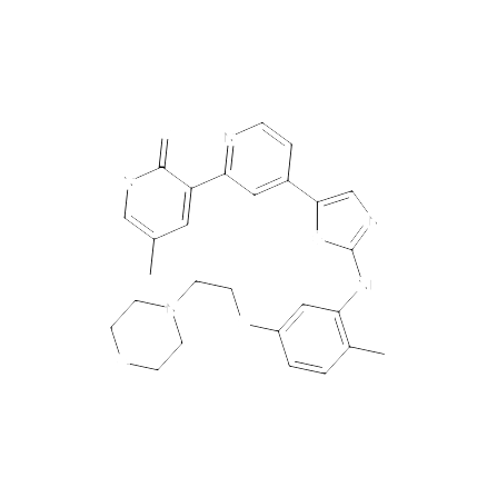 Cc1c[nH]c(=O)c(-c2cc(-c3cnc(Nc4cc(OCCN5CCOCC5)ccc4C)o3)ccn2)c1